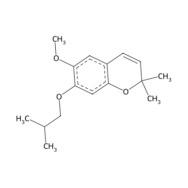 COc1cc2c(cc1OCC(C)C)OC(C)(C)C=C2